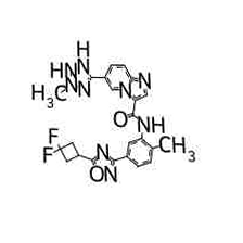 Cc1ccc(-c2noc(C3CC(F)(F)C3)n2)cc1NC(=O)c1cnc2ccc(C3=NN(C)NN3)cn12